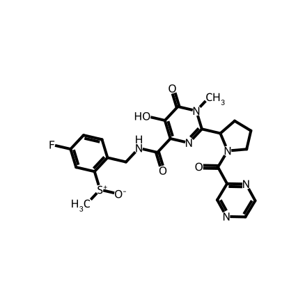 Cn1c(C2CCCN2C(=O)c2cnccn2)nc(C(=O)NCc2ccc(F)cc2[S+](C)[O-])c(O)c1=O